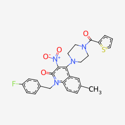 Cc1ccc2c(c1)c(N1CCN(C(=O)c3cccs3)CC1)c([N+](=O)[O-])c(=O)n2Cc1ccc(F)cc1